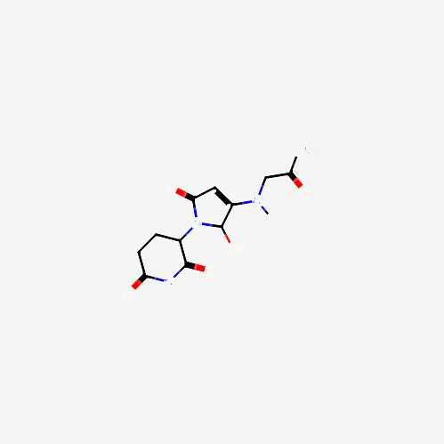 COC(=O)CN(C)C1=CC(=O)N(C2CCC(=O)NC2=O)C1O